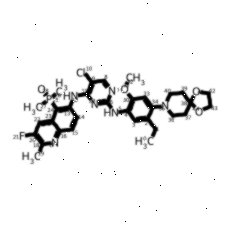 CCc1cc(Nc2ncc(Cl)c(Nc3ccc4nc(C)c(F)cc4c3P(C)(C)=O)n2)c(OC)cc1N1CCC2(CC1)OCCO2